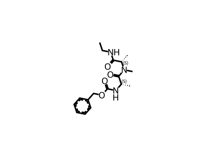 CCNC(=O)[C@H](C)N(C)C(=O)[C@H](C)NC(=O)OCc1ccccc1